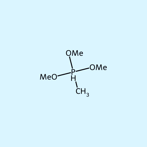 CO[PH](C)(OC)OC